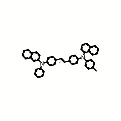 Cc1ccc(N(c2ccc(/C=C/c3ccc(N(c4ccccc4)c4ccc5ccccc5c4)cc3)cc2)c2cccc3ccccc23)cc1